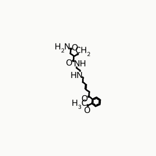 C=CC(CC(N)=O)C(=O)NCCNCC/C=C/CC(=O)c1ccccc1C(C)=O